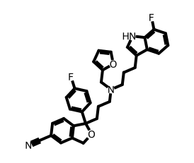 N#Cc1ccc2c(c1)COC2(CCCN(CCCc1c[nH]c2c(F)cccc12)Cc1ccco1)c1ccc(F)cc1